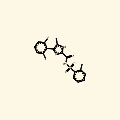 Cc1ccccc1S(=O)(=O)NC(=O)c1nc(-c2c(F)cccc2F)c(C)[nH]1